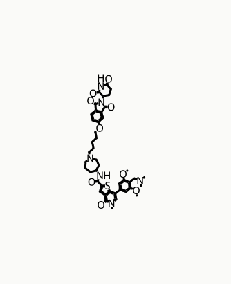 COc1cc(-c2cn(C)c(=O)c3cc(C(=O)NC4CCCN(CCCCCOc5ccc6c(c5)C(=O)N(C5CCC(=O)NC5=O)C6=O)CC4)sc23)cc(OC)c1CN(C)C